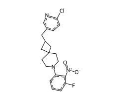 O=[N+]([O-])c1c(F)cccc1N1CCC2(CC1)CC(Cc1ccc(Cl)nc1)C2